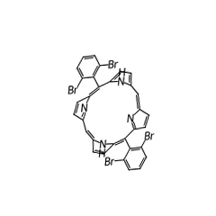 Brc1cccc(Br)c1-c1c2nc(cc3ccc([nH]3)c(-c3c(Br)cccc3Br)c3nc(cc4ccc1[nH]4)C=C3)C=C2